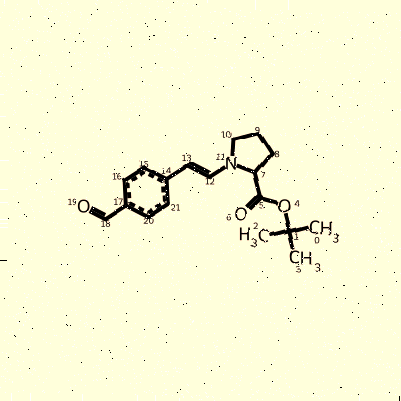 CC(C)(C)OC(=O)C1CCCN1C=Cc1ccc(C=O)cc1